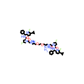 N/C(=C\N(N)CC(=O)N1C[C@H](F)C[C@H]1C(=O)N[C@@H](c1ccccc1)c1ccc(C2CC2)c(F)n1)COCCOCc1cn(CC(=O)N2C[C@H](F)C[C@H]2C(=O)N[C@@H](c2ccccc2)c2ccc(C3CC3)c(F)n2)nn1